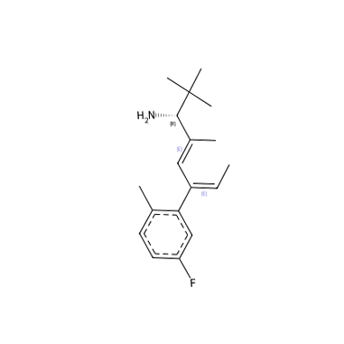 C/C=C(\C=C(/C)[C@H](N)C(C)(C)C)c1cc(F)ccc1C